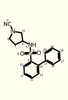 N#CN1CCC(NS(=O)(=O)c2ccccc2-c2ccccc2)C1